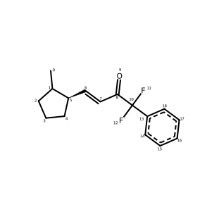 CC1CCC[C@@H]1/C=C/C(=O)C(F)(F)c1ccccc1